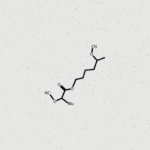 CCC(C)C(OC#N)C(=O)OCCCCC(C)OC#N